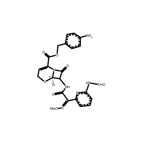 CO/N=C(\C(=O)NC1C(=O)N2C(C(=O)OCc3ccc([N+](=O)[O-])cc3)=CCS[C@H]12)c1cccc(NC=O)n1